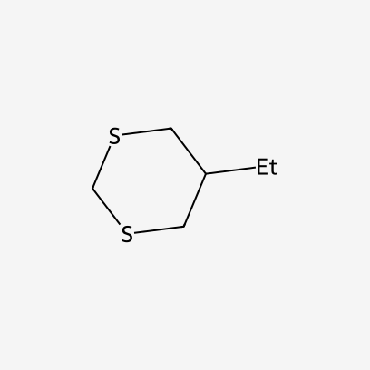 CCC1CSCSC1